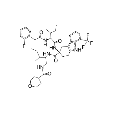 CCC(C)[C@H](NC(=O)Cc1ccccc1F)C(=O)N[C@]1(C(=O)N[C@H](CNC(=O)C2CCOCC2)C(C)CC)CCc2[nH]c3c(C(F)(F)F)cccc3c2C1